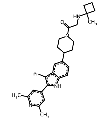 Cc1cc(-c2[nH]c3ccc(C4CCN(C(=O)CNC5(C)CCC5)CC4)cc3c2C(C)C)cc(C)n1